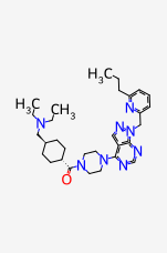 CCCc1cccc(Cn2ncc3c(N4CCN(C(=O)[C@H]5CC[C@H](CN(CC)CC)CC5)CC4)ncnc32)n1